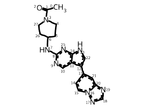 CC(=O)N1CCC(Nc2ncc3c(-c4ccn5ncnc5c4)c[nH]c3n2)CC1